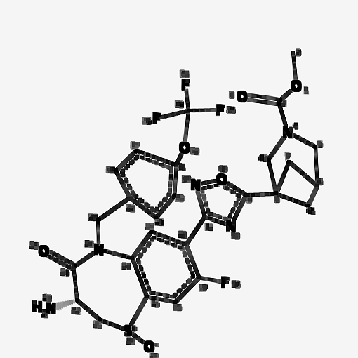 COC(=O)N1CC2CC(c3nc(-c4cc5c(cc4F)[S+]([O-])C[C@H](N)C(=O)N5Cc4ccc(OC(F)(F)F)cc4)no3)(C2)C1